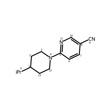 CC(C)C1CCN(c2ccc(C#N)cn2)CC1